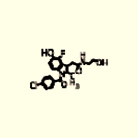 Cc1c(CC(=O)NCCO)c2c(F)c(O)ccc2n1C(=O)c1ccc(Cl)cc1